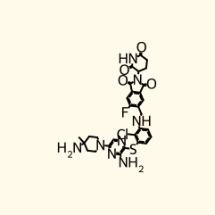 CC1(N)CCN(c2cnc(Sc3cccc(NCc4cc5c(cc4F)C(=O)N(C4CCC(=O)NC4=O)C5=O)c3Cl)c(N)n2)CC1